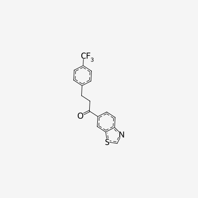 O=C(CCc1ccc(C(F)(F)F)cc1)c1ccc2ncsc2c1